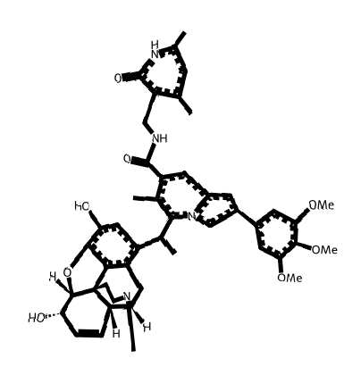 COc1cc(-c2cc3cc(C(=O)NCc4c(C)cc(C)[nH]c4=O)c(C)c(C(C)c4cc(O)c5c6c4C[C@@H]4[C@@H]7C=C[C@H](O)[C@H](O5)[C@]67CCN4C)n3c2)cc(OC)c1OC